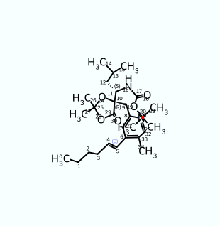 CCCC/C=C/c1cc(C[C@]2([C@H](CC(C)C)NC(=O)OC(C)(C)C)OC(C)(C)OC2=O)ncc1C